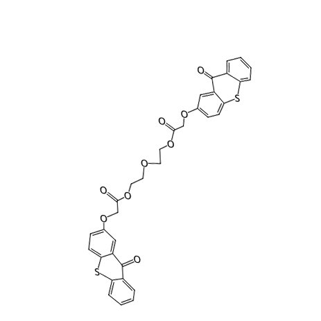 O=C(COc1ccc2sc3ccccc3c(=O)c2c1)OCCOCCOC(=O)COc1ccc2sc3ccccc3c(=O)c2c1